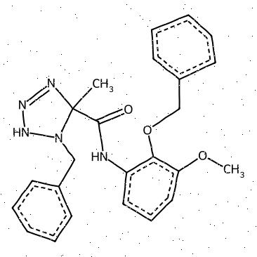 COc1cccc(NC(=O)C2(C)N=NNN2Cc2ccccc2)c1OCc1ccccc1